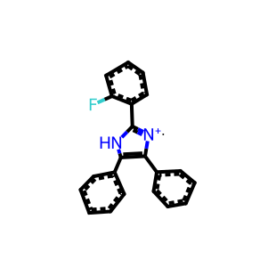 Fc1ccccc1C1=[N+]C(c2ccccc2)=C(c2ccccc2)N1